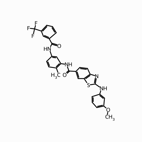 COc1cccc(Nc2nc3ccc(C(=O)Nc4cc(NC(=O)c5cccc(C(F)(F)F)c5)ccc4C)cc3s2)c1